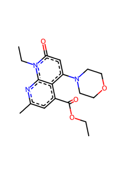 CCOC(=O)c1cc(C)nc2c1c(N1CCOCC1)cc(=O)n2CC